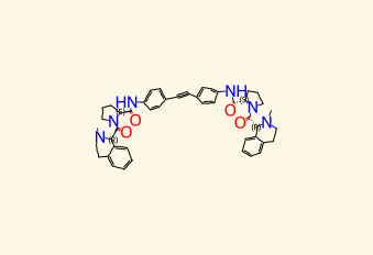 CN1CCc2ccccc2[C@@H]1C(=O)N1CCC[C@H]1C(=O)Nc1ccc(C#Cc2ccc(NC(=O)[C@@H]3CCCN3C(=O)[C@H]3c4ccccc4CCN3C)cc2)cc1